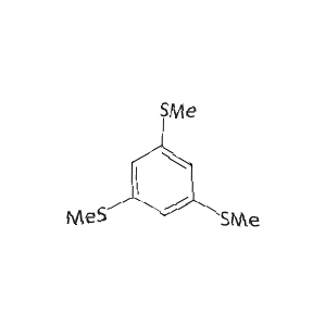 CSc1cc(SC)cc(SC)c1